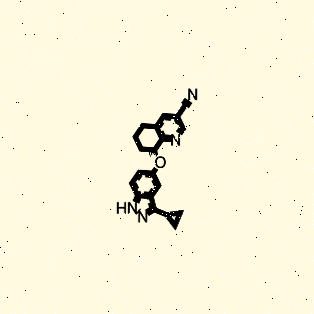 N#Cc1cnc2c(c1)CCC[C@H]2Oc1ccc2[nH]nc(C3CC3)c2c1